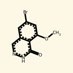 COc1cc(Br)cc2cn[nH]c(=O)c12